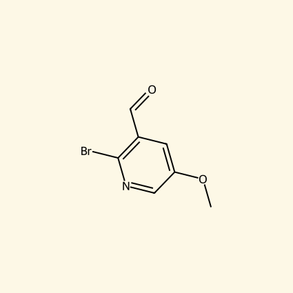 COc1cnc(Br)c(C=O)c1